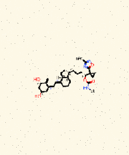 C=C1/C(=C\C=C2/CCC[C@]3(C)[C@@H]([C@H](C)CC[C@@H](OC(=O)NCC)C4(c5nc(CCC)no5)CC4)CC[C@@H]23)C[C@@H](O)C[C@@H]1O